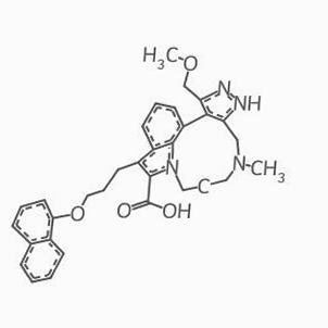 COCc1n[nH]c2c1-c1cccc3c(CCCOc4cccc5ccccc45)c(C(=O)O)n(c13)CCCN(C)C2